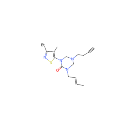 C#CCCN1CN(CC=CC)C(=O)N(c2snc(CC)c2C)C1